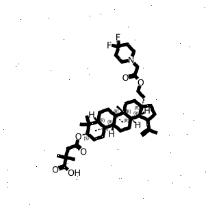 C=C(C)C1CC[C@]2(CCOC(=O)CN3CCC(F)(F)CC3)CC[C@]3(C)[C@H](CC[C@@H]4[C@@]5(C)CC[C@H](OC(=O)CC(C)(C)C(=O)O)C(C)(C)[C@@H]5CC[C@]43C)[C@@H]12